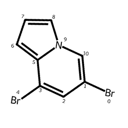 Brc1cc(Br)c2cccn2c1